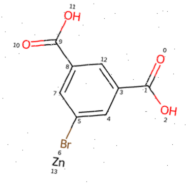 O=C(O)c1cc(Br)cc(C(=O)O)c1.[Zn]